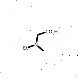 [CH2]CN(C)CC(=O)O